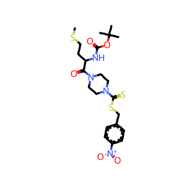 CSCCC(NC(=O)OC(C)(C)C)C(=O)N1CCN(C(=S)SCc2ccc([N+](=O)[O-])cc2)CC1